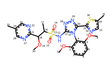 COc1cccc(OC)c1-n1c(NS(=O)(=O)C(C)C(OC)c2ncc(C)cn2)nnc1-c1ncc(C)s1